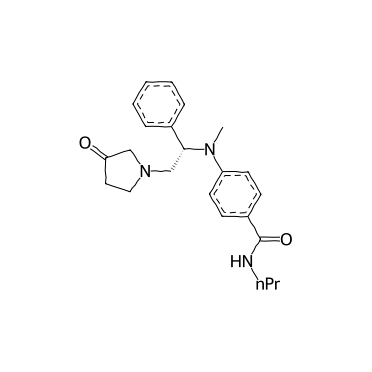 CCCNC(=O)c1ccc(N(C)[C@H](CN2CCC(=O)C2)c2ccccc2)cc1